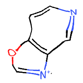 C1=[N+]c2cnccc2O1